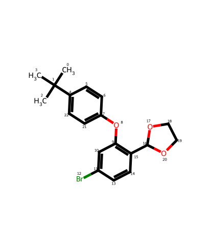 CC(C)(C)c1ccc(Oc2cc(Br)ccc2C2OCCO2)cc1